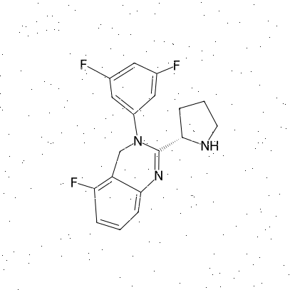 Fc1cc(F)cc(N2Cc3c(F)cccc3N=C2[C@@H]2CCCN2)c1